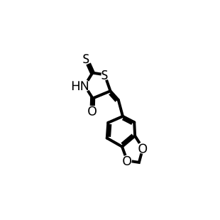 O=C1NC(=S)S/C1=C/c1ccc2c(c1)OCO2